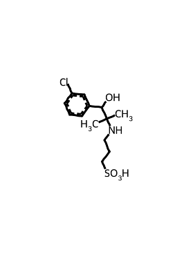 CC(C)(NCCCS(=O)(=O)O)C(O)c1cccc(Cl)c1